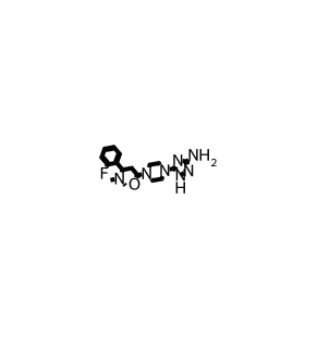 CN(C)C(CC(=O)N1CCN(c2nc(N)n[nH]2)CC1)c1ccccc1F